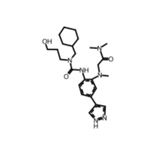 CN(C)C(=O)CN(C)c1cc(-c2cn[nH]c2)ccc1NC(=O)N(CCCO)CC1CCCCC1